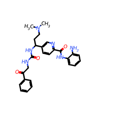 CN(C)CCC(NC(=O)NCC(=O)c1ccccc1)c1ccc(C(=O)Nc2ccccc2N)nc1